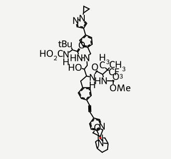 COC(=O)NC(C(=O)NC(Cc1ccc(C#Cc2ccc(N3CC4CCC(C3)N4C3COC3)nc2)cc1)C(O)CN(Cc1ccc(-c2cnn(C3CC3)c2)cc1)NC(=O)C(NC(=O)O)C(C)(C)C)C(C)(C)C(F)(F)F